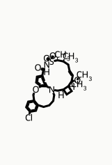 CO[C@]1(C)/C=C/C[C@H](C)[C@@H](C)S(=O)(=O)NC(=O)c2ccc3c(c2)N(CCCCc2cc(Cl)ccc2CO3)C[C@@H]2CC[C@H]21